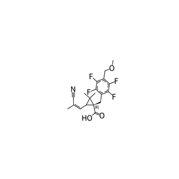 COCc1c(F)c(F)c(C[C@@]2(C(=O)O)C(C=C(C)C#N)C2(C)C)c(F)c1F